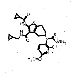 COc1ccc(N(C(=S)NN)[C@H]2CCc3sc(NC(=O)C4CC4)c(C(=O)NCC4CC4)c3C2)c(C)n1